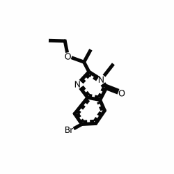 CCOC(C)c1nc2cc(Br)ccc2c(=O)n1C